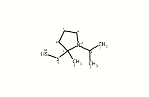 CC(C)N1CCCC1(C)SS